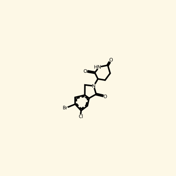 O=C1CCC(N2Cc3cc(Br)c(Cl)cc3C2=O)C(=O)N1